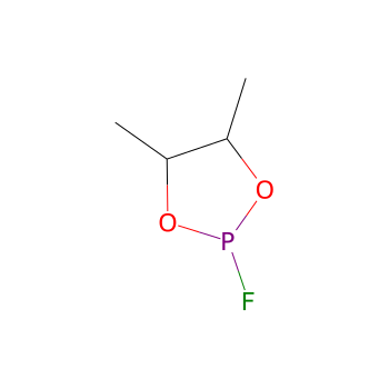 CC1OP(F)OC1C